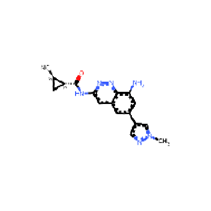 Cn1cc(-c2cc(N)c3nnc(NC(=O)[C@@H]4C[C@H]4C#N)cc3c2)cn1